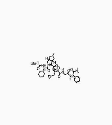 CC1C[C@H]2CN(C(=O)[C@@H](NC(=O)OC(C)(C)C)C3CCCCC3)[C@H](C(=O)NC(CC3CC3)C(=O)C(=O)NCC(=O)N[C@H](C(=O)N(C)C)c3ccccc3)[C@H]2C1